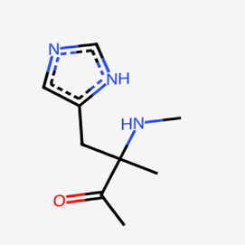 CNC(C)(Cc1cnc[nH]1)C(C)=O